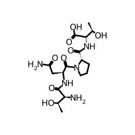 C[C@@H](O)[C@H](N)C(=O)N[C@@H](CC(N)=O)C(=O)N1CCC[C@H]1C(=O)N[C@H](C(=O)O)[C@@H](C)O